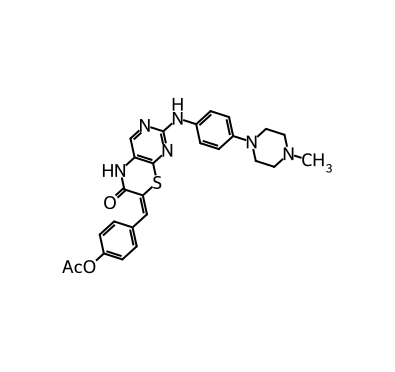 CC(=O)Oc1ccc(C=C2Sc3nc(Nc4ccc(N5CCN(C)CC5)cc4)ncc3NC2=O)cc1